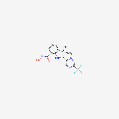 CC1(C)c2cccc(C(=O)NO)c2NC1c1cnc(C(F)(F)F)cn1